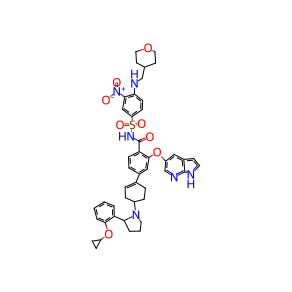 O=C(NS(=O)(=O)c1ccc(NCC2CCOCC2)c([N+](=O)[O-])c1)c1ccc(C2=CCC(N3CCCC3c3ccccc3OC3CC3)CC2)cc1Oc1cnc2[nH]ccc2c1